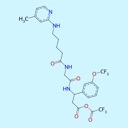 Cc1ccnc(NCCCCC(=O)NCC(=O)NC(CC(=O)OC(=O)C(F)(F)F)c2cccc(OC(F)(F)F)c2)c1